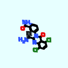 CC[C@H](N)c1nc2c(Cl)ccc(Cl)c2c(=O)n1-c1cccc(C(N)=O)c1